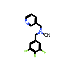 N#CN(Cc1cccnc1)Cc1cc(F)c(F)c(F)c1